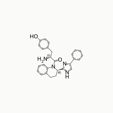 N[C@@H](Cc1ccc(O)cc1)C(=O)N1c2ccccc2CC[C@@H]1c1nc(-c2ccccc2)c[nH]1